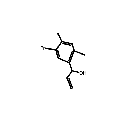 C=CC(O)c1cc(C(C)C)c(C)cc1C